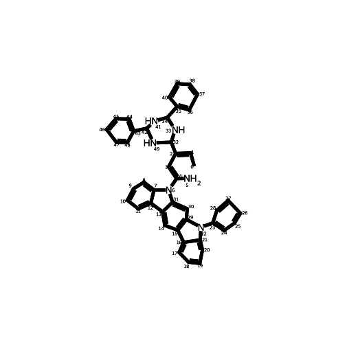 C/C=C(\C=C(/N)n1c2ccccc2c2cc3c4ccccc4n(-c4ccccc4)c3cc21)C1NC(c2ccccc2)NC(c2ccccc2)N1